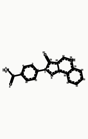 NC(=O)c1ccc(-n2nc3c4ccccc4[nH]cc-3c2=O)cc1